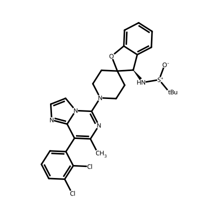 Cc1nc(N2CCC3(CC2)Oc2ccccc2[C@H]3N[S+]([O-])C(C)(C)C)n2ccnc2c1-c1cccc(Cl)c1Cl